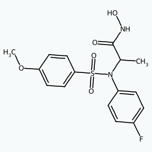 COc1ccc(S(=O)(=O)N(c2ccc(F)cc2)C(C)C(=O)NO)cc1